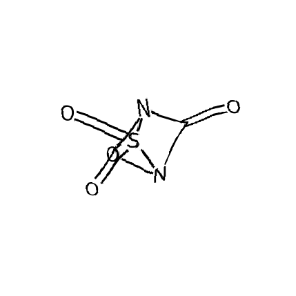 O=c1n2on1S2(=O)=O